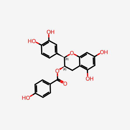 O=C(O[C@@H]1Cc2c(O)cc(O)cc2O[C@@H]1c1ccc(O)c(O)c1)c1ccc(O)cc1